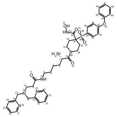 N[C@@H](CCCCNC(=O)CCN(Cc1ccccn1)Cc1ccccn1)C(=O)N1CCC(C(=O)NO)(S(=O)(=O)c2ccc(Oc3ccccc3)cc2)CC1